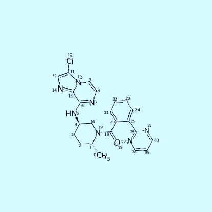 C[C@@H]1CC[C@@H](Nc2nccn3c(Cl)cnc23)CN1C(=O)c1ccccc1-c1ncccn1